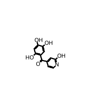 O=C(c1ccnc(O)c1)c1cc(O)c(O)cc1O